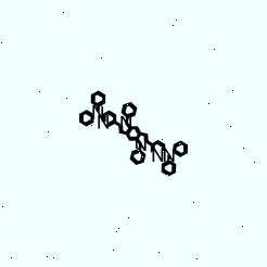 c1ccc(N(c2ccccc2)c2ccc(-c3cc4cc5c(cc(-c6ccc(N(c7ccccc7)c7ccccc7)nc6)n5-c5ccccc5)cc4n3-c3ccccc3)cn2)cc1